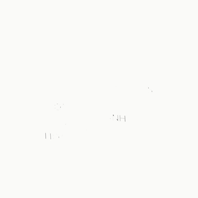 Cc1cc(NCCC(=O)O)cs1